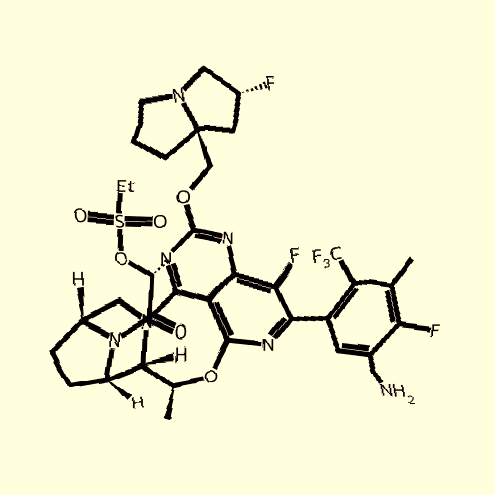 CCS(=O)(=O)O[C@H](C)C(=O)N1[C@@H]2CC[C@H]1[C@H]1[C@H](C)Oc3nc(-c4cc(N)c(F)c(C)c4C(F)(F)F)c(F)c4nc(OC[C@@]56CCCN5C[C@H](F)C6)nc(c34)N1C2